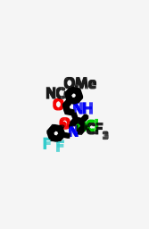 COc1ccc2[nH]c(-c3c(Oc4ccc(F)c(F)c4C)ncc(C(F)(F)F)c3C)cc(=O)c2c1C#N.Cl